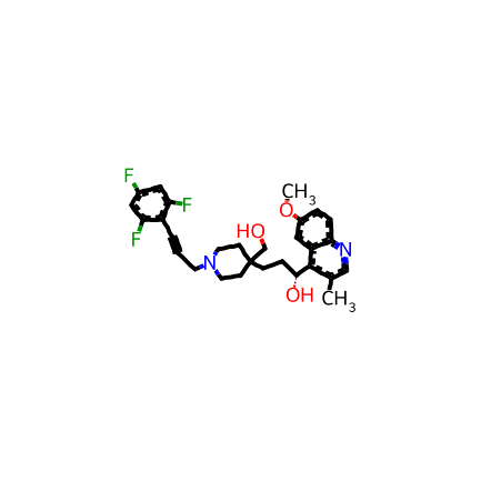 COc1ccc2ncc(C)c([C@H](O)CCC3(CO)CCN(CC#Cc4c(F)cc(F)cc4F)CC3)c2c1